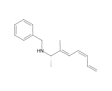 C=C/C=C\C=C(/C)[C@H](C)NCc1ccccc1